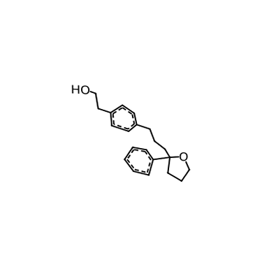 OCCc1ccc(CCCC2(c3ccccc3)CCCO2)cc1